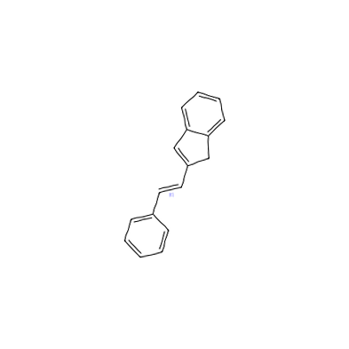 C1=C(/C=C/c2ccccc2)Cc2ccccc21